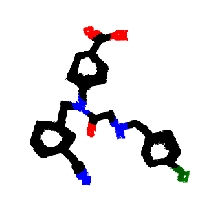 N#Cc1cccc(CN(C(=O)CNCc2ccc(Cl)cc2)c2ccc(C(=O)O)cc2)c1